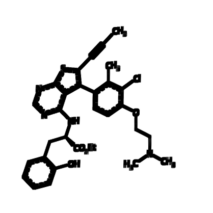 CC#Cc1sc2ncnc(N[C@H](Cc3ccccc3O)C(=O)OCC)c2c1-c1ccc(OCCN(C)C)c(Cl)c1C